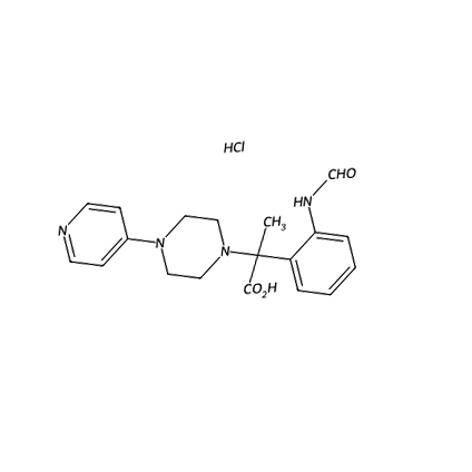 CC(C(=O)O)(c1ccccc1NC=O)N1CCN(c2ccncc2)CC1.Cl